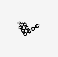 O=S.S.S.c1cc(-c2ccncc2)ccn1.c1cc(-c2ccncc2)ccn1.c1cc(-c2ccncc2)ccn1.c1cc(-c2ccncc2)ccn1